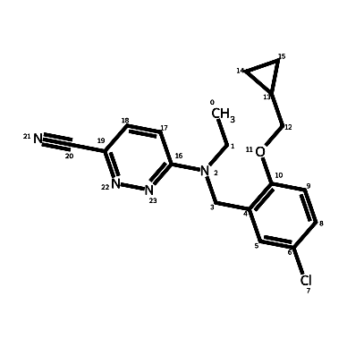 CCN(Cc1cc(Cl)ccc1OCC1CC1)c1ccc(C#N)nn1